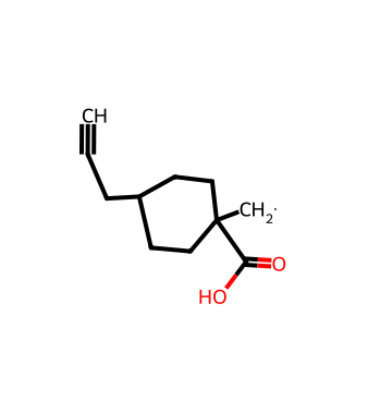 C#CCC1CCC([CH2])(C(=O)O)CC1